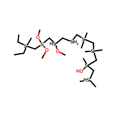 CC[Si](C)(CC)C[Si](C[SiH](C[SiH2]C[Si](C)(C)C[Si](C)(C)C[Si](C)(O)C[SiH](C)C)OC)(OC)OC